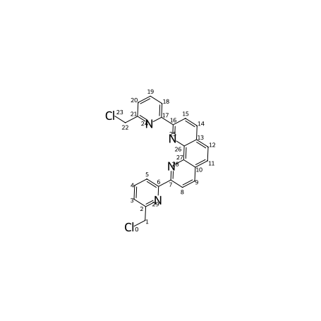 ClCc1cccc(-c2ccc3ccc4ccc(-c5cccc(CCl)n5)nc4c3n2)n1